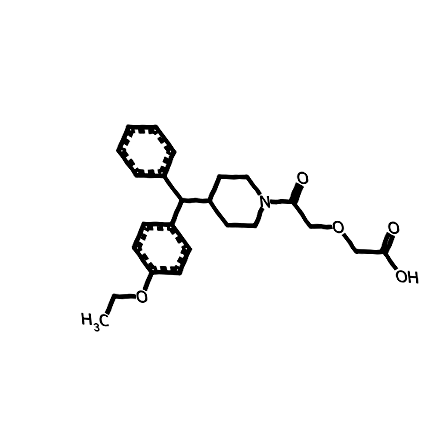 CCOc1ccc(C(c2ccccc2)C2CCN(C(=O)COCC(=O)O)CC2)cc1